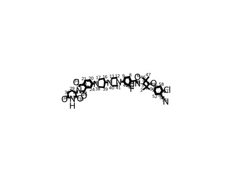 CC1(C)[C@H](NC(=O)c2ccc(N3CCN(C4CCN(c5ccc6c(c5)C(=O)N(C5CCC(=O)NC5=O)C6=O)CC4)CC3)cc2F)C(C)(C)[C@H]1Oc1ccc(C#N)c(Cl)c1